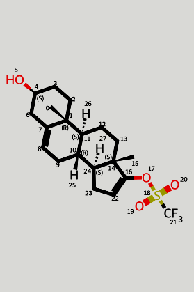 C[C@]12CC[C@H](O)CC1=CC[C@@H]1[C@@H]2CC[C@]2(C)C(OS(=O)(=O)C(F)(F)F)=CC[C@@H]12